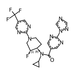 O=C(c1cnc(-n2cncn2)nc1)N(C1CC1)[C@@H]1CCN(c2ncc(C(F)(F)F)cn2)C[C@@H]1F